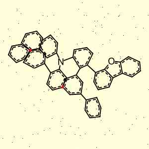 c1ccc(-c2cccc(-c3c(-c4cccc5c4oc4ccccc45)cccc3N(c3cccc(-c4ccccc4)c3)c3ccccc3-c3ccc4ccccc4c3)c2)cc1